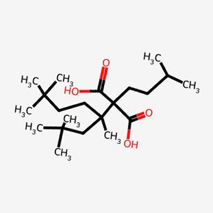 CC(C)CCC(C(=O)O)(C(=O)O)C(C)(CCC(C)(C)C)CC(C)(C)C